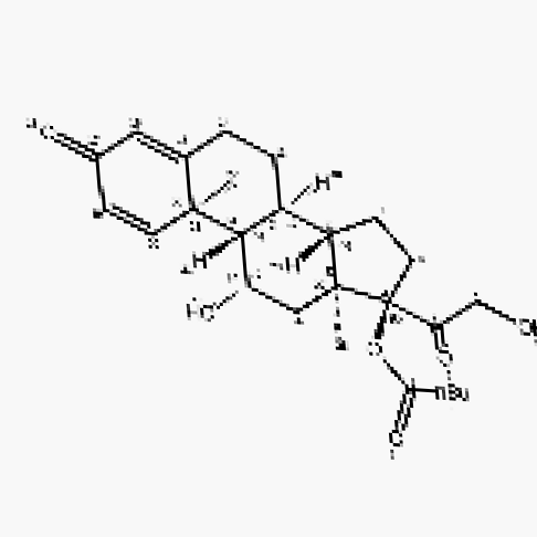 CCCCC(=O)O[C@]1(C(=O)CO)CC[C@H]2[C@@H]3CCC4=CC(=O)C=C[C@]4(C)[C@H]3[C@@H](O)C[C@@]21C